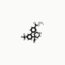 COC(=O)c1ccc(-c2cc(C(F)(F)F)ccc2C2(C#N)CCNCC2)cc1